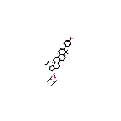 C=C(C)[C@@H]1CC[C@]2(NCCN3C4COCC3COC4)CC[C@]3(C)[C@H](CCC4[C@@]5(C)CC=C(c6ccc(C(=O)O)cc6)C(C)(C)[C@@H]5CC[C@]43C)C12